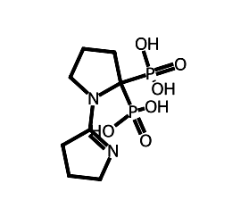 O=P(O)(O)C1(P(=O)(O)O)CCCN1C1=NCCC1